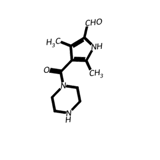 Cc1[nH]c(C=O)c(C)c1C(=O)N1CCNCC1